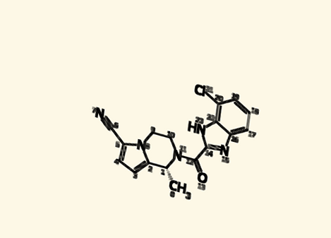 C[C@@H]1c2ccc(C#N)n2CCN1C(=O)c1nc2cccc(Cl)c2[nH]1